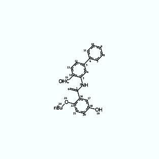 C=C(Nc1cc(-c2ccccc2)ccc1C=O)c1cc(O)ccc1OCCCC